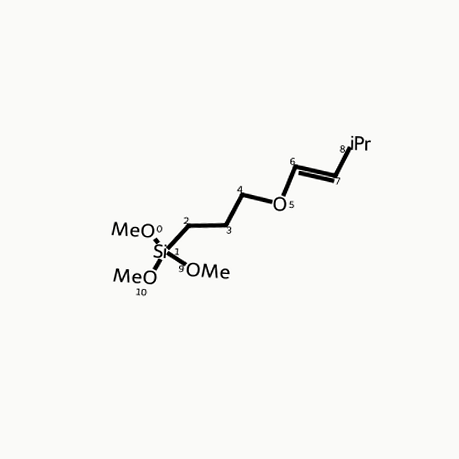 CO[Si](CCCOC=CC(C)C)(OC)OC